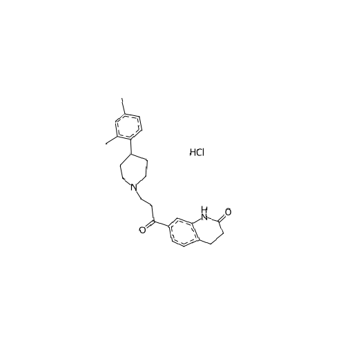 Cc1ccc(C2CCN(CCC(=O)c3ccc4c(c3)NC(=O)CC4)CC2)c(C)c1.Cl